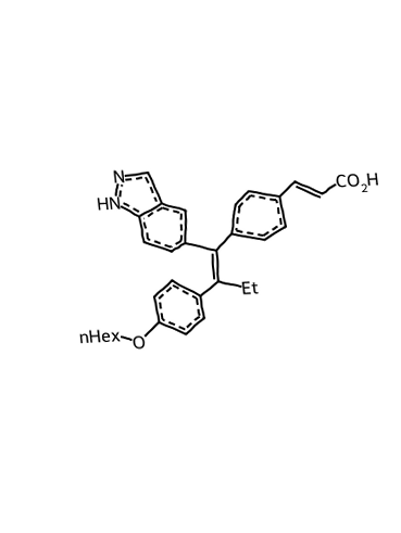 CCCCCCOc1ccc(C(CC)=C(c2ccc(C=CC(=O)O)cc2)c2ccc3[nH]ncc3c2)cc1